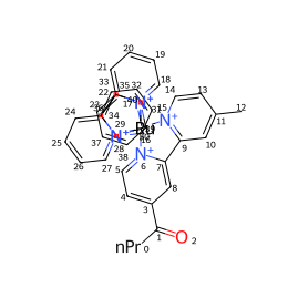 CCCC(=O)c1cc[n+]2c(c1)-c1cc(C)cc[n+]1[Ru]213([n+]2ccccc2-c2cccc[n+]21)[n+]1ccccc1-c1cccc[n+]13